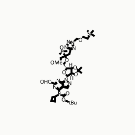 COCC(Cc1nnn(COCC[Si](C)(C)C)n1)(OC[C@H]1O[C@@H](n2ncc3c(N(C(=O)OC(C)(C)C)C4CCC4)nc(C=O)nc32)[C@@H]2OC(C)(C)O[C@@H]21)P(C)(C)=O